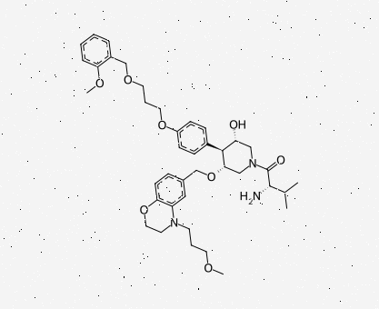 COCCCN1CCOc2ccc(CO[C@H]3CN(C(=O)[C@@H](N)C(C)C)C[C@@H](O)[C@@H]3c3ccc(OCCCOCc4ccccc4OC)cc3)cc21